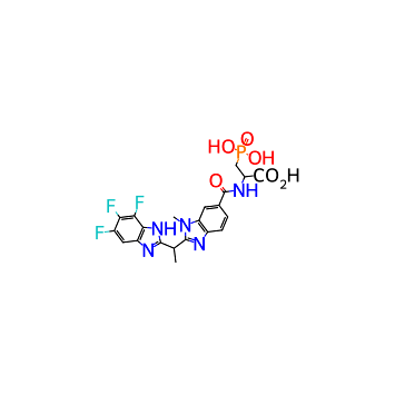 CC(c1nc2cc(F)c(F)c(F)c2[nH]1)c1nc2ccc(C(=O)NC(CP(=O)(O)O)C(=O)O)cc2n1C